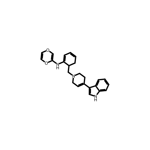 C1=CCC(CN2CC=C(c3c[nH]c4ccccc34)CC2)C(NC2=COC=CO2)=C1